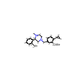 COc1cc(CN2CCN(C)C(c3ccccc3C(C)C)C2)ccc1C1CC1